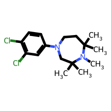 CN1C(C)(C)CCN(c2ccc(Cl)c(Cl)c2)CC1(C)C